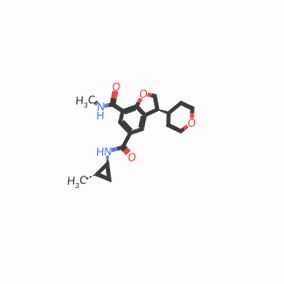 CNC(=O)c1cc(C(=O)N[C@H]2C[C@@H]2C)cc2c1OC[C@H]2C1CCOCC1